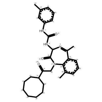 CC1=NC(NC(=O)Nc2cccc(C)c2)C(=O)N(CC(=O)C2CCCCCCC2)c2c(C)cccc21